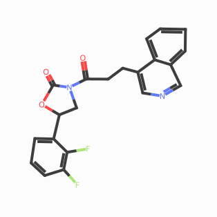 O=C(CCc1cncc2ccccc12)N1CC(c2cccc(F)c2F)OC1=O